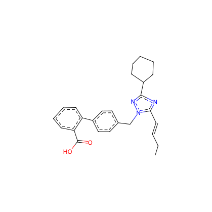 CCC=Cc1nc(C2CCCCC2)nn1Cc1ccc(-c2ccccc2C(=O)O)cc1